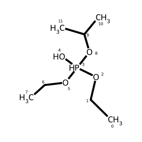 CCO[PH](O)(OCC)OC(C)C